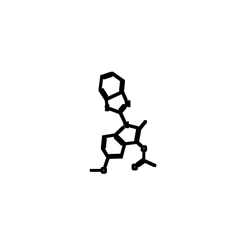 COc1ccc2c(c1)c(OC(C)=O)c(C)n2-c1nc2ccccc2s1